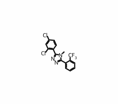 Cn1c(-c2ccc(Cl)cc2Cl)nnc1-c1ccccc1C(F)(F)F